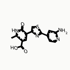 Cc1[nH]c(=O)c(-c2csc(-c3ccnc(N)c3)n2)cc1C(=O)O